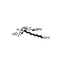 CCCCCCCCC=CCCCCCCCC(=O)N(C)CC(=O)O.CNCC(=O)O